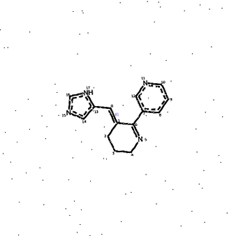 C(=C1/CCCN=C1c1cccnc1)/c1cnc[nH]1